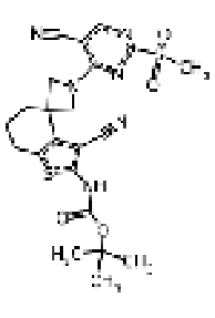 CC(C)(C)OC(=O)Nc1sc2c(c1C#N)C1(CCC2)CN(c2nc(S(C)(=O)=O)ncc2C#N)C1